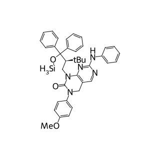 COc1ccc(N2Cc3cnc(Nc4ccccc4)nc3N(C[C@H](C(C)(C)C)C(O[SiH3])(c3ccccc3)c3ccccc3)C2=O)cc1